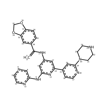 C=C(Nc1cc(Nc2cnccn2)nc(-c2ccnc(N3CCNCC3)c2)c1)c1ccc2c(c1)OCO2